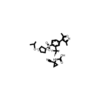 Cc1noc(C)c1-c1ccc(S(=O)(=O)[C@H]2CC[C@H](OC(C)C)C2)c(C(F)(F)F)c1.N#CC1(NC(=O)O)CC1